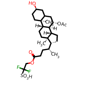 CC(=O)O[C@H]1CC2C[C@H](O)CC[C@]2(C)[C@H]2CC[C@]3(C)[C@@H]([C@H](C)CCC(=O)OCC(F)(F)S(=O)(=O)O)CC[C@H]3[C@H]12